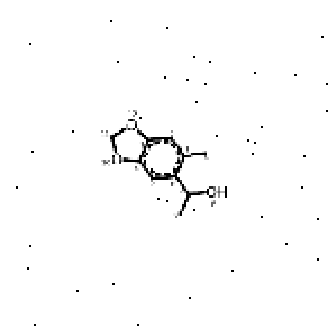 Cc1cc2c(cc1C(C)O)OCO2